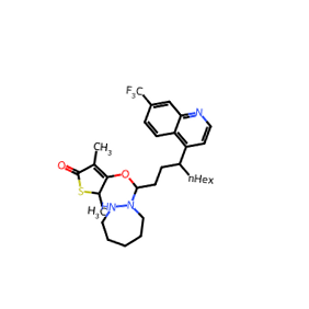 CCCCCCC(CCC(OC1=C(C)C(=O)SC1C)N1CCCCCN1)c1ccnc2cc(C(F)(F)F)ccc12